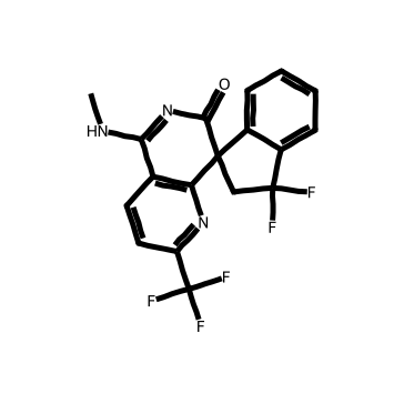 CNC1=NC(=O)C2(CC(F)(F)c3ccccc32)c2nc(C(F)(F)F)ccc21